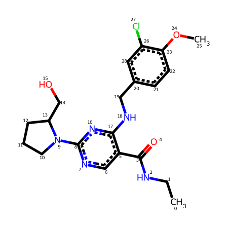 CCNC(=O)c1cnc(N2CCCC2CO)nc1NCc1ccc(OC)c(Cl)c1